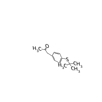 CC(=O)Cc1ccc(SC(C)(C)C)cc1